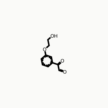 O=CC(=O)c1cccc(OCCO)c1